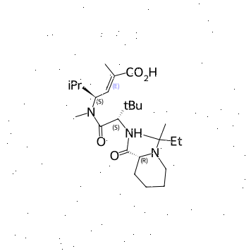 CCC(C)(C)N1CCCC[C@@H]1C(=O)N[C@H](C(=O)N(C)[C@H](/C=C(\C)C(=O)O)C(C)C)C(C)(C)C